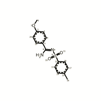 COc1ccc(C(N)=NS(=O)(=O)c2ccc(C)cc2)cc1